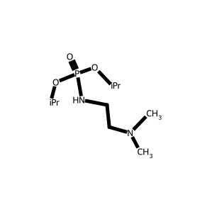 CC(C)OP(=O)(NCCN(C)C)OC(C)C